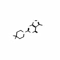 CC1(N)CCN(c2nc3[nH]nc(Br)c3c(=O)[nH]2)CC1